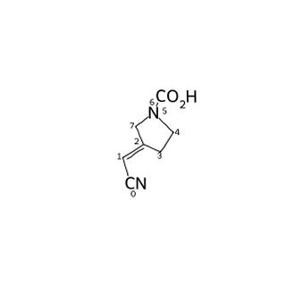 N#C/C=C1\CCN(C(=O)O)C1